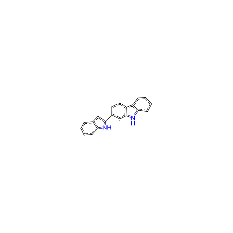 [c]1c(-c2cc3ccccc3[nH]2)ccc2c1[nH]c1ccccc12